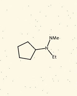 CCN(NC)C1CCCC1